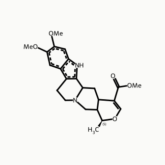 COC(=O)C1=CO[C@@H](C)C2CN3CCc4c([nH]c5cc(OC)c(OC)cc45)C3CC12